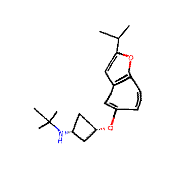 CC(C)c1cc2cc(O[C@H]3C[C@@H](NC(C)(C)C)C3)ccc2o1